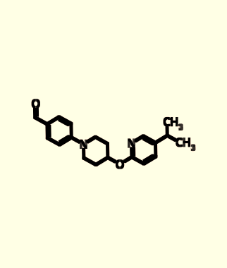 CC(C)c1ccc(OC2CCN(c3ccc(C=O)cc3)CC2)nc1